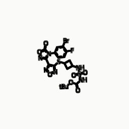 CC(C)(C)OC(=O)NS(=O)(=O)NC1CC(Sc2nonc2-c2noc(=O)n2-c2ccc(F)c(Br)c2)C1